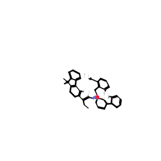 CCc1c(/C=C\Cc2c(C#N)cccc2-n2c3c(c4ccccc42)C=CCC3)oc2c3c(ccc12)C(C)(C)c1ccccc1-3